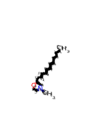 CCCCCCCCCCCCCC1CN(C)CCO1